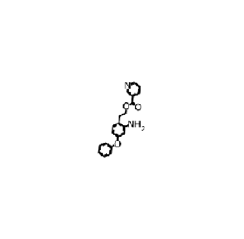 Nc1cc(Oc2ccccc2)ccc1CCOC(=O)c1cccnc1